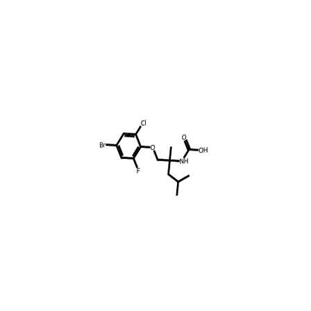 CC(C)CC(C)(COc1c(F)cc(Br)cc1Cl)NC(=O)O